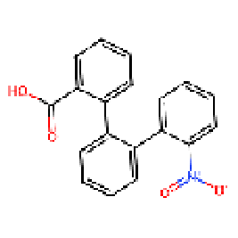 O=C(O)c1ccccc1-c1ccccc1-c1ccccc1[N+](=O)[O-]